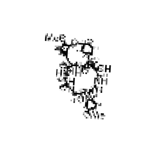 COc1ccc(C[C@H]2C(=O)N[C@@H](C)C(O)N(C)[C@H]3Cc4ccc(cc4)Oc4cc(ccc4OC)C[C@H](NC3=O)C(=O)N[C@H](C)C(=O)N[C@@H](C)C(=O)N2C)cc1